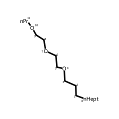 CCCCCCCCCCOCCOCCOCCC